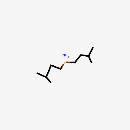 CC(C)CCSCCC(C)C.N